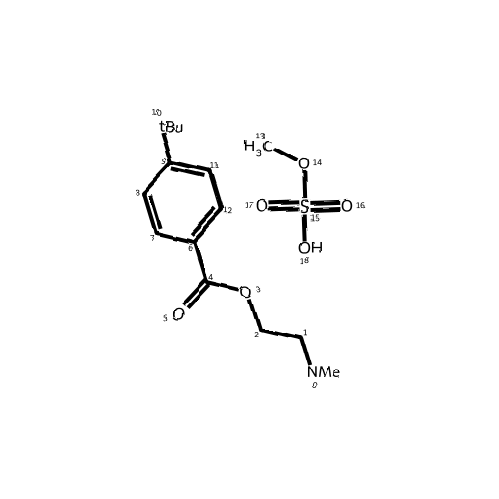 CNCCOC(=O)c1ccc(C(C)(C)C)cc1.COS(=O)(=O)O